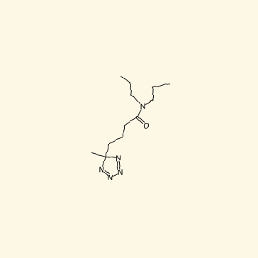 CCCN(CCC)C(=O)CCCC1(C)N=NN=N1